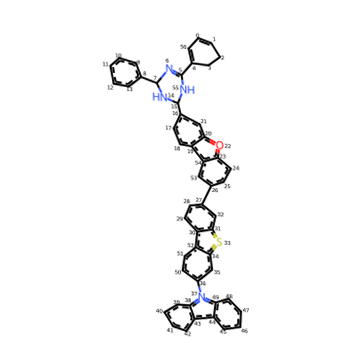 C1=CCCC(C2=NC(c3ccccc3)NC(c3ccc4c(c3)oc3ccc(-c5ccc6c(c5)sc5cc(-n7c8ccccc8c8ccccc87)ccc56)cc34)N2)=C1